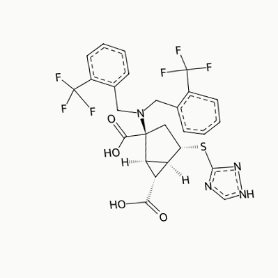 O=C(O)[C@H]1[C@H]2[C@@H]1[C@@](C(=O)O)(N(Cc1ccccc1C(F)(F)F)Cc1ccccc1C(F)(F)F)C[C@@H]2Sc1nc[nH]n1